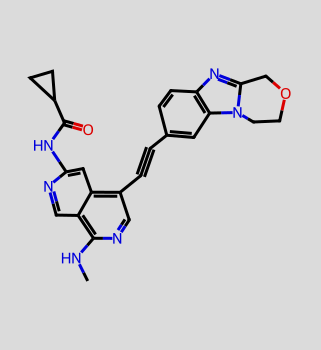 CNc1ncc(C#Cc2ccc3nc4n(c3c2)CCOC4)c2cc(NC(=O)C3CC3)ncc12